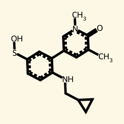 Cc1cc(-c2cc(SO)ccc2NCC2CC2)cn(C)c1=O